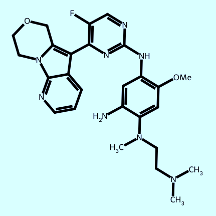 COc1cc(N(C)CCN(C)C)c(N)cc1Nc1ncc(F)c(-c2c3n(c4ncccc24)CCOC3)n1